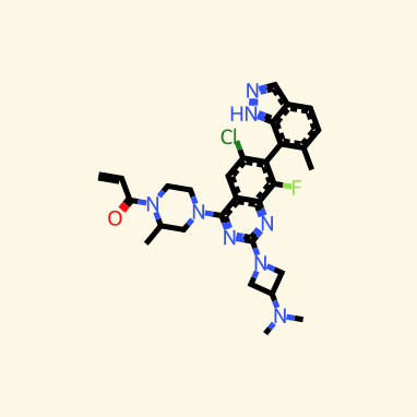 C=CC(=O)N1CCN(c2nc(N3CC(N(C)C)C3)nc3c(F)c(-c4c(C)ccc5cn[nH]c45)c(Cl)cc23)CC1C